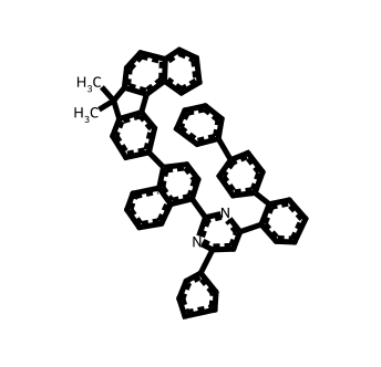 CC1(C)c2ccc(-c3ccc(-c4nc(-c5ccccc5)cc(-c5ccccc5-c5ccc(-c6ccccc6)cc5)n4)c4ccccc34)cc2-c2c1ccc1ccccc21